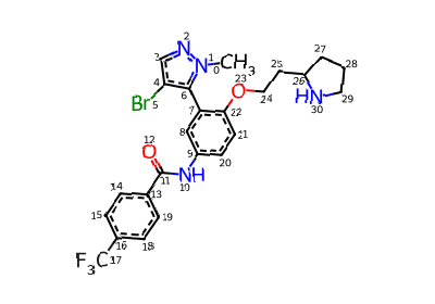 Cn1ncc(Br)c1-c1cc(NC(=O)c2ccc(C(F)(F)F)cc2)ccc1OCCC1CCCN1